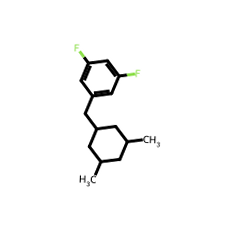 CC1CC(C)CC(Cc2cc(F)cc(F)c2)C1